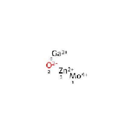 [Ga+3].[Mo+4].[O-2].[Zn+2]